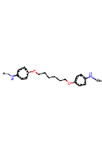 CCC(C)Nc1ccc(OCCCCCCOc2ccc(NC(C)CC)cc2)cc1